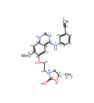 C#Cc1cccc(Nc2ncnc3cc(OC)c(OCCN4C[C@H](C)OC4=O)cc23)c1